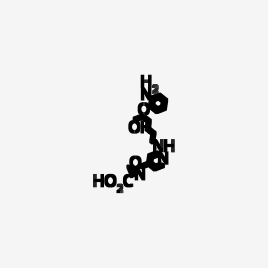 Nc1ccccc1OC(CO)CCCCNc1cc(-c2nc(C(=O)O)co2)ccn1